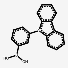 OB(O)c1cccc(-n2c3ccccc3c3ccccc32)c1